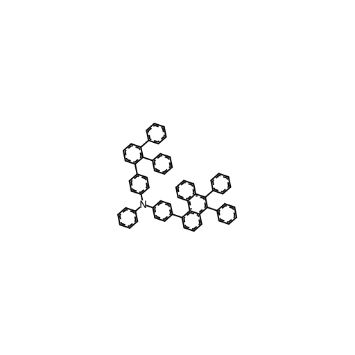 c1ccc(-c2cccc(-c3ccc(N(c4ccccc4)c4ccc(-c5cccc6c(-c7ccccc7)c(-c7ccccc7)c7ccccc7c56)cc4)cc3)c2-c2ccccc2)cc1